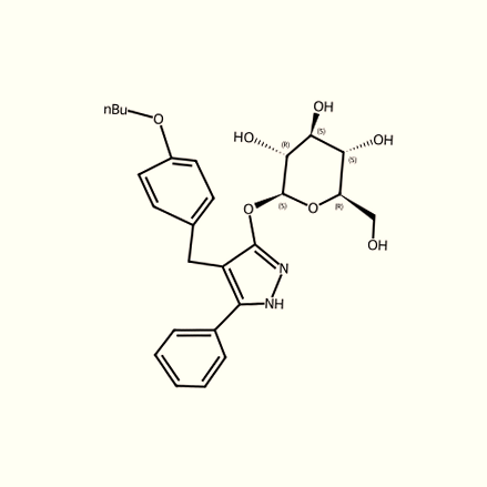 CCCCOc1ccc(Cc2c(O[C@@H]3O[C@H](CO)[C@@H](O)[C@H](O)[C@H]3O)n[nH]c2-c2ccccc2)cc1